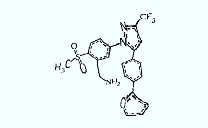 CS(=O)(=O)c1ccc(-n2nc(C(F)(F)F)cc2-c2ccc(-c3ccco3)cc2)cc1CN